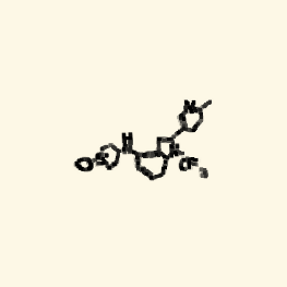 Cc1ccc(-c2cc3c(NC4CC[S+]([O-])CC4)cccc3n2CC(F)(F)F)cn1